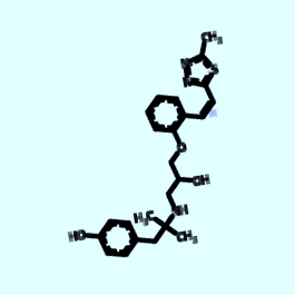 Cc1nnc(/C=C\c2ccccc2OCC(O)CNC(C)(C)Cc2ccc(O)cc2)s1